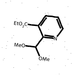 CCOC(=O)c1cccnc1C(OC)OC